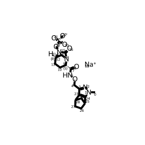 Cn1nc(CONC(=O)[C@@H]2CC[C@@H]3CN2C(=O)N3OS(=O)(=O)[O-])c2c1C1CCC2C1.[Na+]